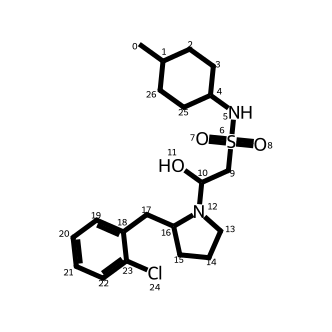 CC1CCC(NS(=O)(=O)CC(O)N2CCCC2Cc2ccccc2Cl)CC1